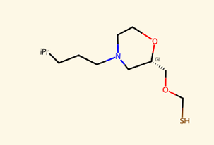 CC(C)CCCN1CCO[C@H](COCS)C1